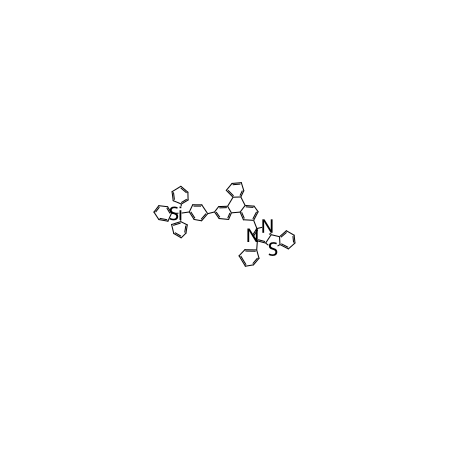 c1ccc(-c2nc(-c3ccc4c5ccccc5c5cc(-c6ccc([Si](c7ccccc7)(c7ccccc7)c7ccccc7)cc6)ccc5c4c3)nc3c2sc2ccccc23)cc1